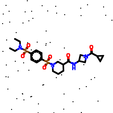 CCN(CC)S(=O)(=O)c1ccc(S(=O)(=O)N2CCCC(C(=O)NC3CN(C(=O)C4CC4)C3)C2)cc1